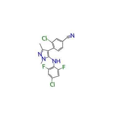 Cc1nn(C)c(Nc2c(F)cc(Cl)cc2F)c1-c1ccc(C#N)cc1Cl